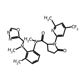 Cc1cc(C(F)(F)F)cc(N2C(=O)CCC2C(=O)N(C)c2cccc(C)c2N(C)Cc2nnco2)n1